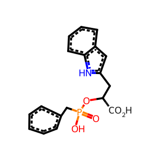 O=C(O)C(Cc1cc2ccccc2[nH]1)OP(=O)(O)Cc1ccccc1